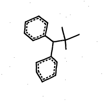 CC(C)(C)[C](c1ccccc1)c1ccccc1